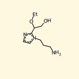 CCOC(CO)c1nccn1CCCN